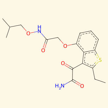 CCc1sc2cccc(OCC(=O)NOCC(C)C)c2c1C(=O)C(N)=O